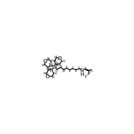 CC(C)=C[SiH2]CCCCCCCC[Si](N1CCOCC1)(N1CCOCC1)N1CCOCC1